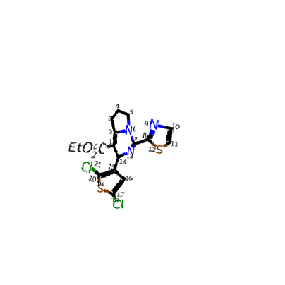 CCOC(=O)C1=C2CCCN2C(c2nccs2)=NC1c1cc(Cl)sc1Cl